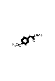 COC(=O)Cc1ccc(OC(F)(F)F)cc1